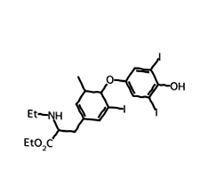 CCNC(CC1=CC(C)C(Oc2cc(I)c(O)c(I)c2)C(I)=C1)C(=O)OCC